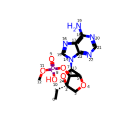 CC[C@@]12COC(C1OP(=O)(O)OC)[C@H](n1cnc3c(N)ncnc31)O2